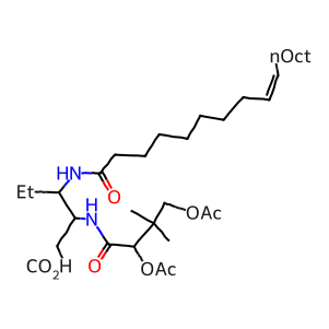 CCCCCCCC/C=C\CCCCCCCC(=O)NC(CC)C(CC(=O)O)NC(=O)C(OC(C)=O)C(C)(C)COC(C)=O